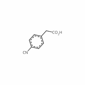 [C-]#[N+]c1ccc(CC(=O)O)cc1